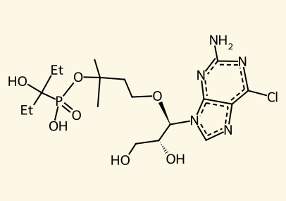 CCC(O)(CC)P(=O)(O)OC(C)(C)CCO[C@H]([C@H](O)CO)n1cnc2c(Cl)nc(N)nc21